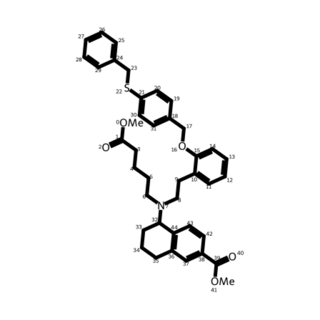 COC(=O)CCCCN(CCc1ccccc1OCc1ccc(SCc2ccccc2)cc1)C1CCCc2cc(C(=O)OC)ccc21